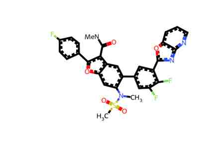 CNC(=O)c1c(-c2ccc(F)cc2)oc2cc(N(C)S(C)(=O)=O)c(-c3cc(F)c(F)c(-c4nc5ncccc5o4)c3)cc12